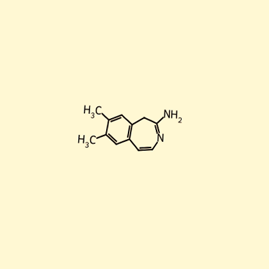 Cc1cc2c(cc1C)CC(N)=NC=C2